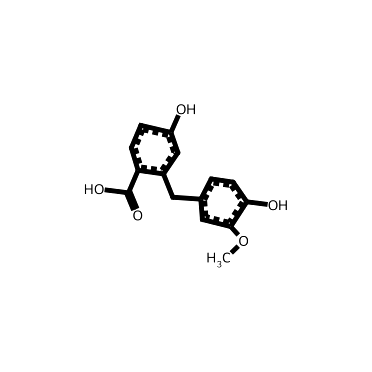 COc1cc(Cc2cc(O)ccc2C(=O)O)ccc1O